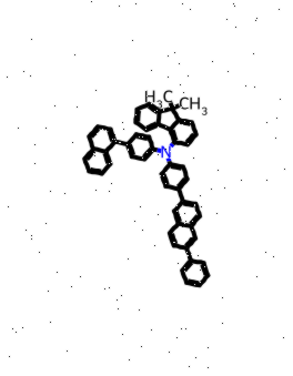 CC1(C)c2ccccc2-c2c(N(c3ccc(-c4ccc5cc(-c6ccccc6)ccc5c4)cc3)c3ccc(-c4cccc5ccccc45)cc3)cccc21